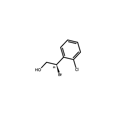 OC[C@H](Br)c1ccccc1Cl